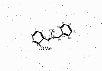 COc1ccccc1C=[N+]([O-])Cc1ccccc1